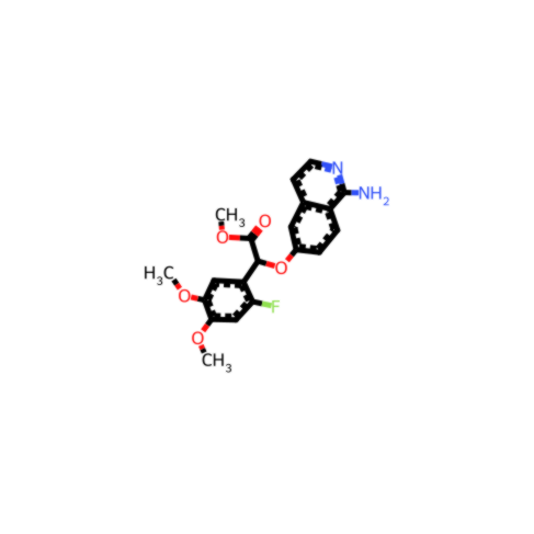 COC(=O)C(Oc1ccc2c(N)nccc2c1)c1cc(OC)c(OC)cc1F